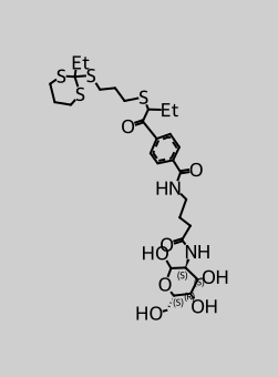 CCC(SCCCSC1(CC)SCCCS1)C(=O)c1ccc(C(=O)NCCCC(=O)N[C@@H]2C(O)O[C@@H](CO)[C@H](O)[C@H]2O)cc1